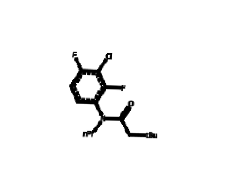 CCCN(C(=O)CC(C)(C)C)c1ccc(F)c(Cl)c1F